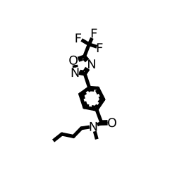 CCCCN(C)C(=O)c1ccc(-c2noc(C(F)(F)F)n2)cc1